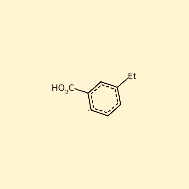 CCc1cc[c]c(C(=O)O)c1